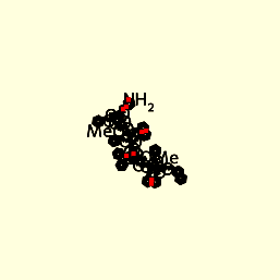 COC1C(OCC(OCc2ccccc2)C(OCc2ccccc2)C(COP(=O)(OCc2ccccc2)OC2C(COCc3ccccc3)OC(OCC(OCc3ccccc3)C(OCc3ccccc3)C(COCc3ccc4ccccc4c3)OCc3ccccc3)C2OC)OCc2ccccc2)OC(COCc2ccccc2)C1OP(=O)(OCCCCCN)OCc1ccccc1